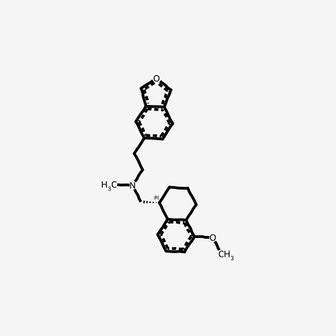 COc1cccc2c1CCC[C@H]2CN(C)CCc1ccc2cocc2c1